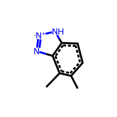 Cc1ccc2c(c1C)N=[N+]N2